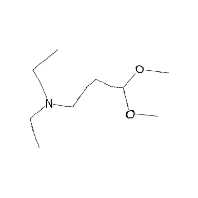 CCN(CC)CCC(OC)OC